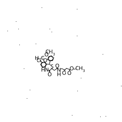 CCOC(=O)CC(=O)CNC(=O)CC1SC(c2cccc(OC)c2OC)c2cc(Cl)ccc2NC1=O